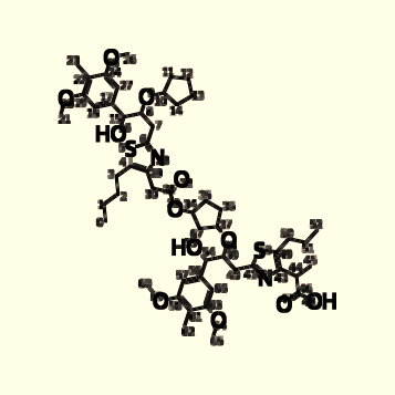 CCCCc1sc(CC(OC2CCCC2)C(O)c2cc(OC)c(C)c(OC)c2)nc1CC(=O)OC1CCC(OC(Cc2nc(C(C)C(=O)O)c(CCC)s2)C(O)c2cc(OC)c(C)c(OC)c2)C1